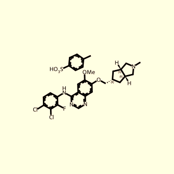 COc1cc2c(Nc3ccc(Cl)c(Cl)c3F)ncnc2cc1OC[C@@H]1C[C@@H]2CN(C)C[C@@H]2C1.Cc1ccc(S(=O)(=O)O)cc1